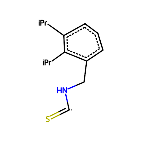 CC(C)c1cccc(CN[C]=S)c1C(C)C